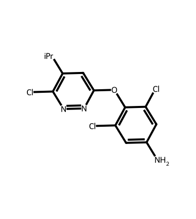 CC(C)c1cc(Oc2c(Cl)cc(N)cc2Cl)nnc1Cl